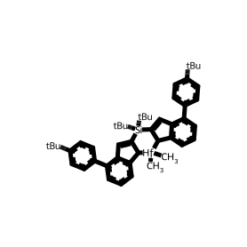 CC(C)(C)c1ccc(-c2cccc3c2C=C2[CH]3[Hf]([CH3])([CH3])[CH]3C(=Cc4c(-c5ccc(C(C)(C)C)cc5)cccc43)[Si]2(C(C)(C)C)C(C)(C)C)cc1